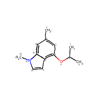 [CH2]c1cc(OC(C)C)c2ccn(C)c2c1